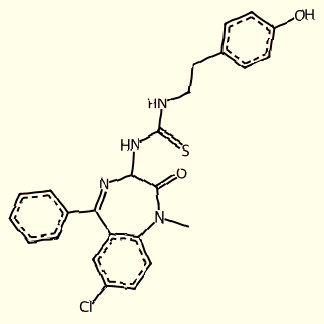 CN1C(=O)C(NC(=S)NCCc2ccc(O)cc2)N=C(c2ccccc2)c2cc(Cl)ccc21